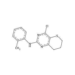 Cc1ccccc1Nc1nc(Cl)c2c(n1)CCCS2